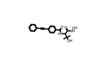 CC(C)(O)C(NC(=O)c1ccc(C#Cc2ccccc2)cc1)C(=O)NO